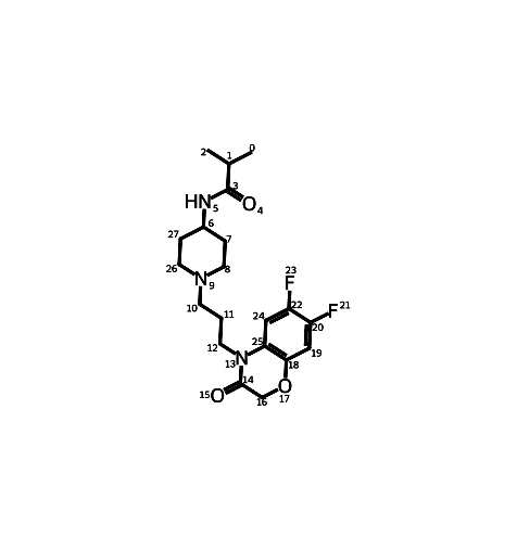 CC(C)C(=O)NC1CCN(CCCN2C(=O)COc3cc(F)c(F)cc32)CC1